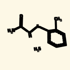 Cc1ccccc1SNC(N)=O.S